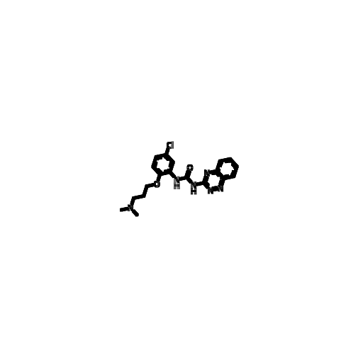 CN(C)CCCOc1ccc(Cl)cc1NC(=O)Nc1nnc2ccccc2n1